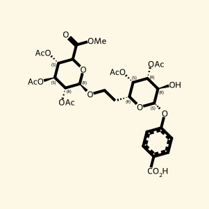 COC(=O)C1O[C@@H](OCC[C@H]2O[C@@H](Oc3ccc(C(=O)O)cc3)[C@H](O)[C@@H](OC(C)=O)[C@H]2OC(C)=O)[C@H](OC(C)=O)[C@@H](OC(C)=O)[C@@H]1OC(C)=O